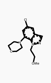 COCCn1ncc2cc(Cl)cc(N3CCOCC3)c21